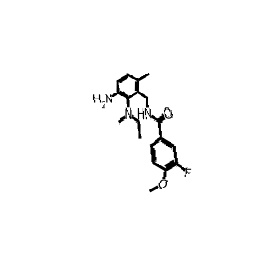 CCN(C)c1c(N)ccc(C)c1CNC(=O)c1ccc(OC)c(F)c1